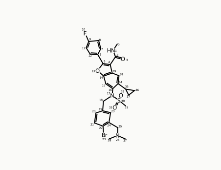 CNC(=O)c1c(-c2ccc(F)cc2)oc2cc(N(Cc3ccc(Br)c(CN(C)C)c3)S(C)(=O)=O)c(C3CC3)cc12